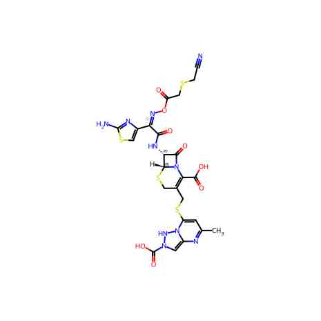 CC1=NC2=CN(C(=O)O)NN2C(SCC2=C(C(=O)O)N3C(=O)[C@@H](NC(=O)/C(=N\OC(=O)CSCC#N)c4csc(N)n4)[C@H]3SC2)=C1